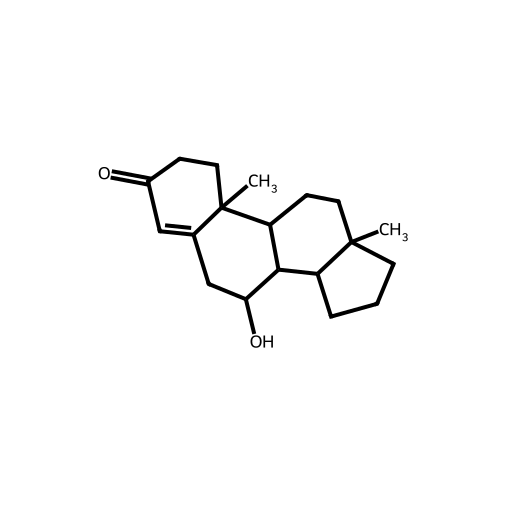 CC12CCCC1C1C(O)CC3=CC(=O)CCC3(C)C1CC2